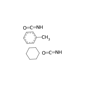 C1CCCCC1.Cc1ccccc1.N=C=O.N=C=O